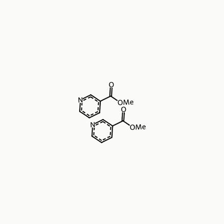 COC(=O)c1cccnc1.COC(=O)c1cccnc1